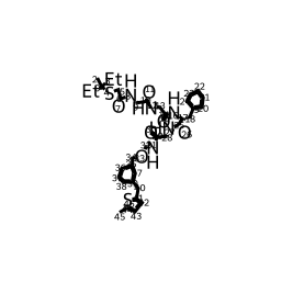 CCC(C)(CC)SCC(=O)NCC(=O)NCC(=O)N[C@@H](Cc1ccccc1)C(=O)NCC(=O)NCOCc1cccc(Cc2ccc(C)s2)c1